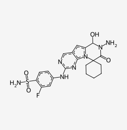 NN1C(=O)C2(CCCCC2)n2c(cc3cnc(Nc4ccc(S(N)(=O)=O)c(F)c4)nc32)C1O